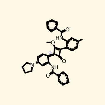 COC1=C(c2ccc(C)cc2NC(=O)c2ccccc2)C(=O)/C1=C1/C=CC(=[N+]2CCCC2)C=C1NC(=O)c1ccccc1